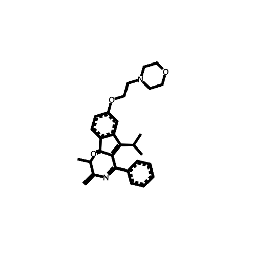 C=C(/N=C(\C1=C(C(C)C)c2cc(OCCN3CCOCC3)ccc2C1=O)c1ccccc1)C(C)C